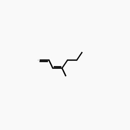 [CH]=CC=C(C)CCC